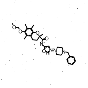 COCOc1c(C)c(C)c2c(c1C)CCC(C)(C(=O)[N-]c1c[n+](N3CCN(Cc4ccccc4)CC3)no1)O2